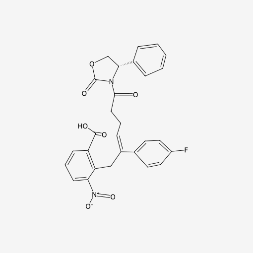 O=C(O)c1cccc([N+](=O)[O-])c1C/C(=C/CCC(=O)N1C(=O)OC[C@@H]1c1ccccc1)c1ccc(F)cc1